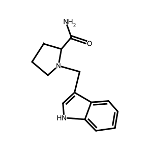 NC(=O)C1[CH]CCN1Cc1c[nH]c2ccccc12